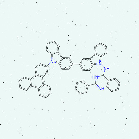 N=C(NC(Nn1c2ccccc2c2cc(-c3ccc4c(c3)c3ccccc3n4-c3ccc4c5ccccc5c5ccccc5c4c3)ccc21)c1ccccc1)c1ccccc1